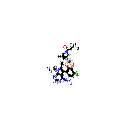 C=CC(=O)N1C[C@@H]2[C@@H](C#Cc3c(-c4ccc(Cl)c5c4OC(F)(F)O5)c4c(N)ncnc4n3C)[C@@H]2C1